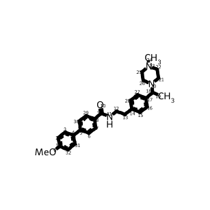 COc1ccc(-c2ccc(C(=O)NCCc3ccc(C(C)N4CCN(C)CC4)cc3)cc2)cc1